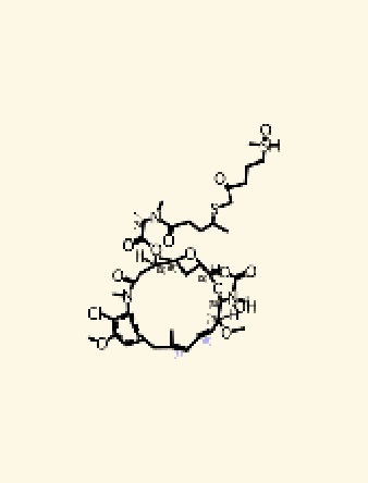 COc1cc2cc(c1Cl)N(C)C(=O)C[C@H](OC(=O)[C@H](C)N(C)C(=O)CCC(C)SCC(=O)CCC[SH](C)(C)=O)[C@@]1(C)CC(C)(O1)[C@@H]1C[C@](O)([C@H](OC)/C=C/C=C(\C)C2)N(I)C(=O)O1